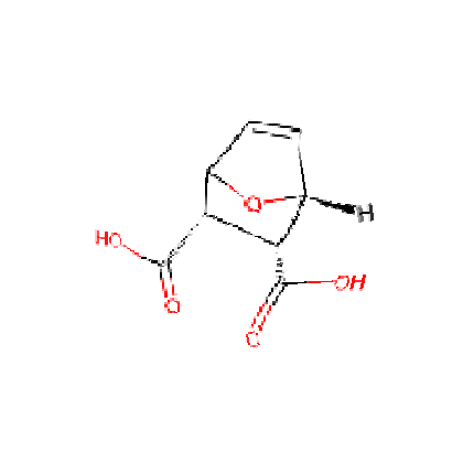 O=C(O)[C@@H]1[C@H](C(=O)O)C2C=C[C@H]1O2